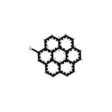 Clc1cc2ccc3ccc4ccc5ccc6ccc1c1c6c5c4c3c21